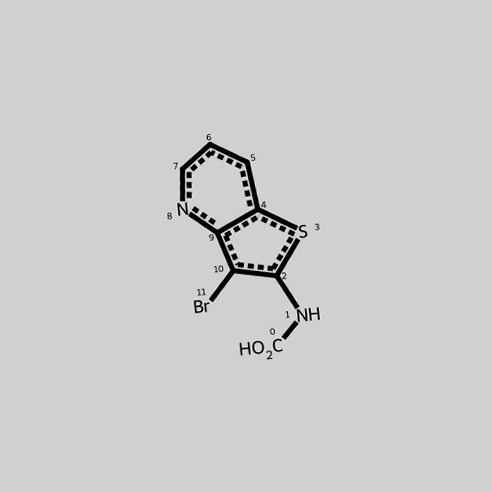 O=C(O)Nc1sc2cccnc2c1Br